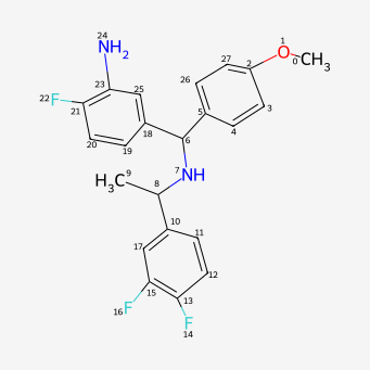 COc1ccc(C(NC(C)c2ccc(F)c(F)c2)c2ccc(F)c(N)c2)cc1